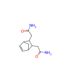 NC(=O)CC1C2C=CC(C2)C1CC(N)=O